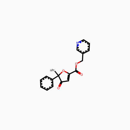 CCCC1(c2ccccc2)OC(C(=O)OCc2cccnc2)=CC1=O